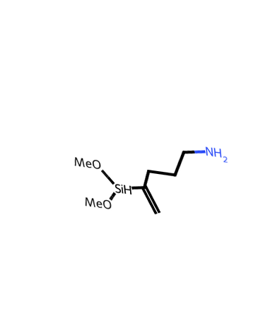 C=C(CCCN)[SiH](OC)OC